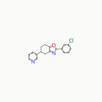 Clc1cccc(-c2nc3c(o2)CCC(c2cccnc2)C3)c1